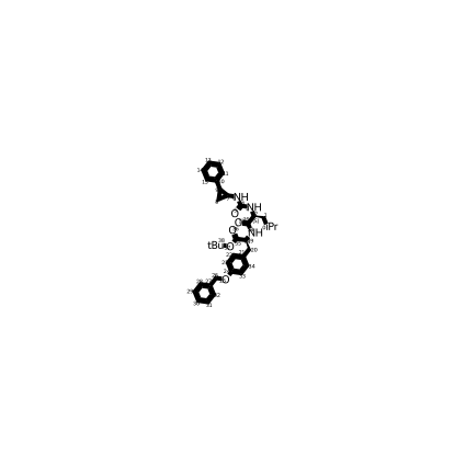 CC(C)C[C@H](NC(=O)NC1CC1c1ccccc1)C(=O)N[C@@H](Cc1ccc(OCc2ccccc2)cc1)C(=O)OC(C)(C)C